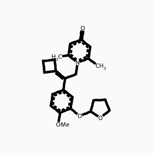 COc1ccc(C(Cn2c(C)cc(=O)cc2C)=C2CCC2)cc1OC1CCCO1